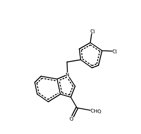 O=CC(=O)c1cn(Cc2ccc(Cl)c(Cl)c2)c2ccccc12